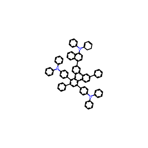 C1=CCCC(N(c2ccccc2)c2ccc(-c3ccc4c(c3)c3cc(-c5ccccc5)ccc3c3c(-c5ccc(N(c6ccccc6)c6ccccc6)cc5)cc(-c5ccccc5)c(-c5ccc(N(c6ccccc6)c6ccccc6)cc5)c43)c3ccccc23)=C1